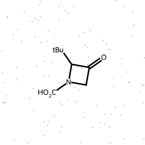 CC(C)(C)C1C(=O)CN1C(=O)O